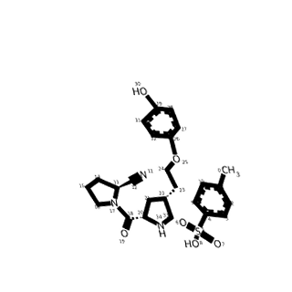 Cc1ccc(S(=O)(=O)O)cc1.N#C[C@@H]1CCCN1C(=O)[C@@H]1C[C@H](CCOc2ccc(O)cc2)CN1